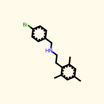 Cc1cc(C)c(CCNCc2ccc(Br)cc2)c(C)c1